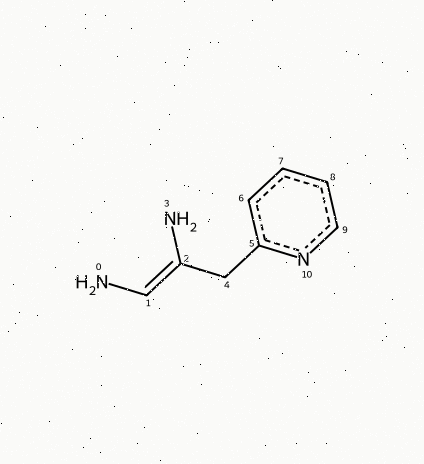 NC=C(N)Cc1ccccn1